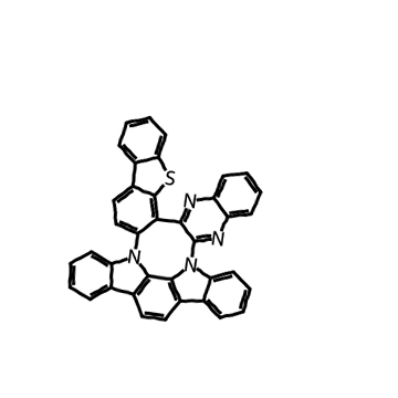 c1ccc2nc3c(nc2c1)c1c2sc4ccccc4c2ccc1n1c2ccccc2c2ccc4c5ccccc5n3c4c21